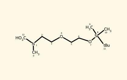 CN(CCOCCO[Si](C)(C)C(C)(C)C)C(=O)O